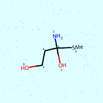 CSC(N)(O)CCO